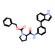 O=C(Nc1cccc(-c2cccc3[nH]ccc23)c1)C1CCCN1C(=O)OCc1ccccc1